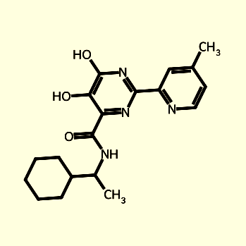 Cc1ccnc(-c2nc(O)c(O)c(C(=O)NC(C)C3CCCCC3)n2)c1